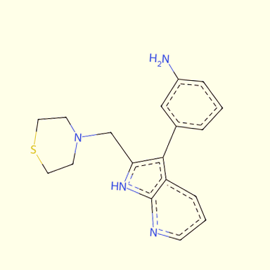 Nc1cccc(-c2c(CN3CCSCC3)[nH]c3ncccc23)c1